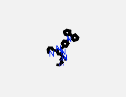 C=N/C(=C\C=C/C)c1cc(-c2ccccn2)nc(-c2ccc(-n3c4ccccc4c4ccccc43)cc2)n1